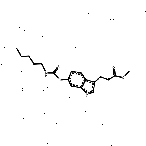 CCCCCNC(=O)Oc1ccc2c(CCC(=O)OC)c[nH]c2c1